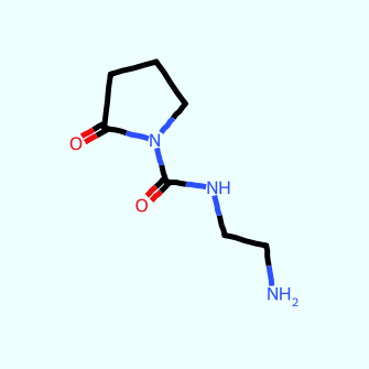 NCCNC(=O)N1CCCC1=O